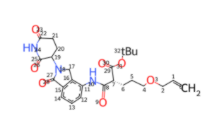 C=CCOCCC[C@H](C(=O)Nc1cccc2c1CN(C1CCC(=O)NC1=O)C2=O)C(=O)OC(C)(C)C